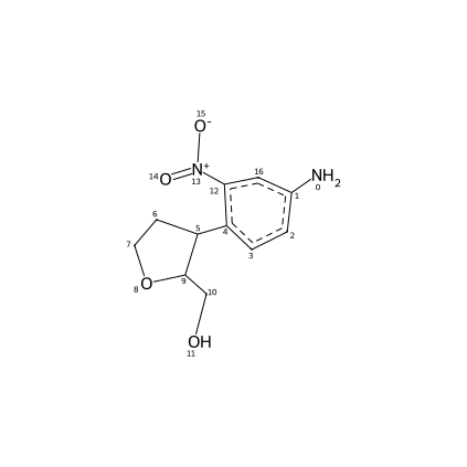 Nc1ccc(C2CCOC2CO)c([N+](=O)[O-])c1